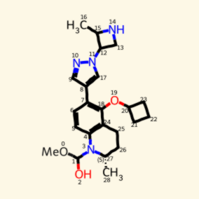 COC(O)N1c2ccc(-c3cnn(C4CNC4C)c3)c(OC3CCC3)c2CC[C@@H]1C